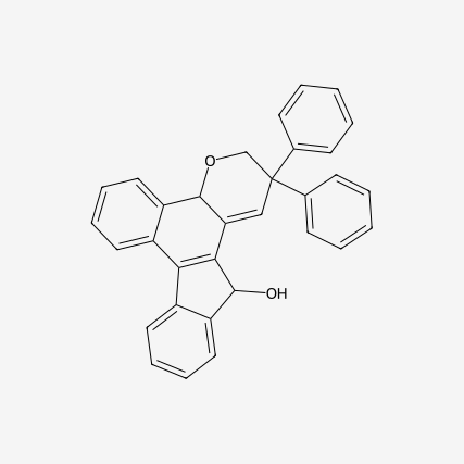 OC1C2=C(c3ccccc31)c1ccccc1C1OCC(c3ccccc3)(c3ccccc3)C=C21